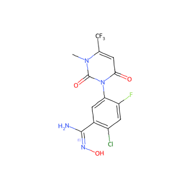 Cn1c(C(F)(F)F)cc(=O)n(-c2cc(/C(N)=N\O)c(Cl)cc2F)c1=O